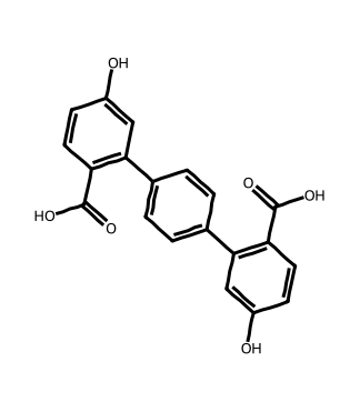 O=C(O)c1ccc(O)cc1-c1ccc(-c2cc(O)ccc2C(=O)O)cc1